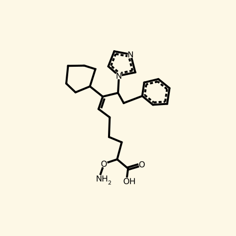 NOC(CCC/C=C(/C1CCCCC1)C(Cc1ccccc1)n1ccnc1)C(=O)O